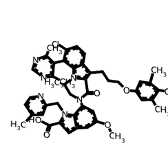 COc1cc(N2C[C@@H](C)n3c(c(CCCOc4cc(C)c(Cl)c(C)c4)c4ccc(Cl)c(-c5c(C)ncnc5C)c43)C2=O)c2c(c1)cc(C(=O)O)n2Cc1cc(C)ccn1